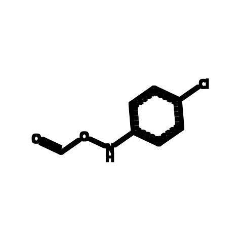 O=CONc1ccc(Cl)cc1